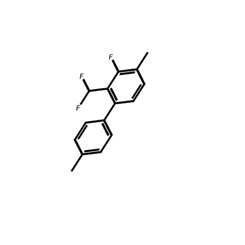 Cc1ccc(-c2ccc(C)c(F)c2C(F)F)cc1